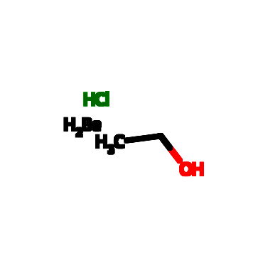 CCO.Cl.[BeH2]